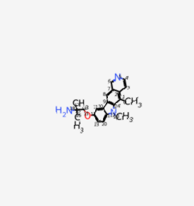 Cc1c2ccncc2cc2c3cc(OCC(C)(C)N)ccc3n(C)c12